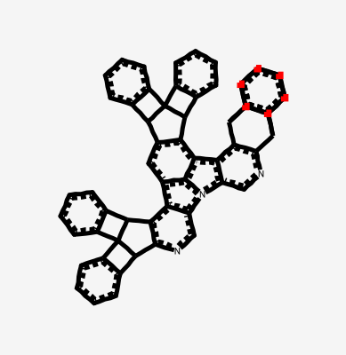 c1ccc2c(c1)C1c3ccccc3C2c2c1ncc1c2c2c3c(cc4c5c6c(ncc5n1c42)C1c2ccccc2C12c1ccccc1C62)C1c2ccccc2C12c1ccccc1C32